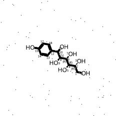 OC[C@@H](O)[C@@H](O)[C@H](O)[C@@H](O)C(O)c1ccc(O)cc1